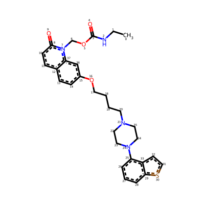 CCNC(=O)OCn1c(=O)ccc2ccc(OCCCCN3CCN(c4cccc5sccc45)CC3)cc21